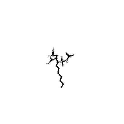 CCCCCCCC(C1CC(=O)OC1=O)[Si](C)(C)OC(C)C